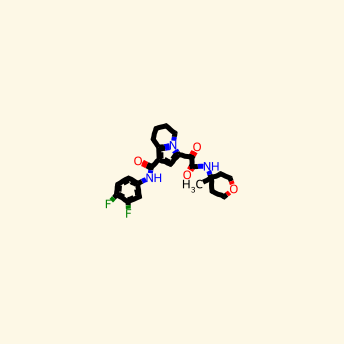 CC1(NC(=O)C(=O)c2cc(C(=O)Nc3ccc(F)c(F)c3)c3n2CCCC3)CCOCC1